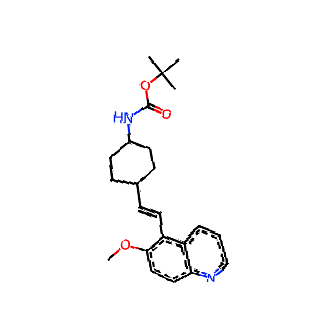 COc1ccc2ncccc2c1C=CC1CCC(NC(=O)OC(C)(C)C)CC1